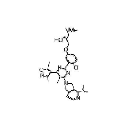 CNC[C@@H](O)COc1ccc(Cl)c(-c2nc(-c3c(C)noc3C)c(C)c(N3Cc4ccnc(N(C)C)c4C3)n2)c1